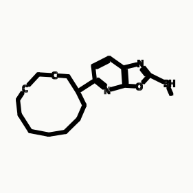 CBc1nc2ccc(C3CCCCCCCCCCC3)nc2o1